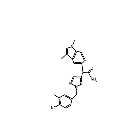 Cc1cc(Cn2ncc(C(C(N)=O)c3ccc4c(c3)c(C)cn4C)n2)ccc1C#N